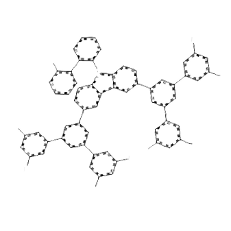 Fc1cc(F)cc(-c2cc(-c3cc(F)cc(F)c3)cc(-c3ccc4c(c3)c3cc(-c5cc(-c6cc(F)cc(F)c6)cc(-c6cc(F)cc(F)c6)c5)ccc3n4-c3ccccc3-c3ccccc3F)c2)c1